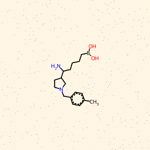 Cc1ccc(CN2CCC(C(N)CCCCB(O)O)C2)cc1